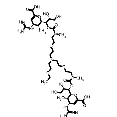 CCOCCN(CCOCCN(C)C(=O)OC([C@H](O)CO)[C@@H]1OC(C(=O)O)=C[C@H](NC(=N)N)[C@H]1C)CCOCCN(C)C(=O)O[C@@H]([C@@H]1OC(C(=O)O)=C[C@H](NC(=N)N)[C@H]1C)[C@H](O)CO